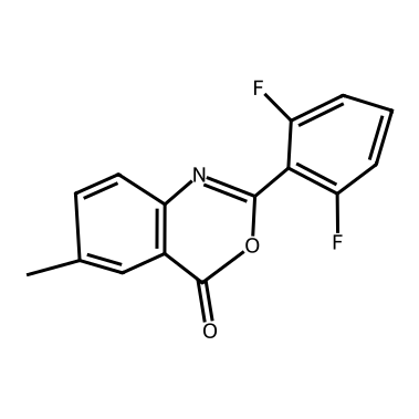 Cc1ccc2nc(-c3c(F)cccc3F)oc(=O)c2c1